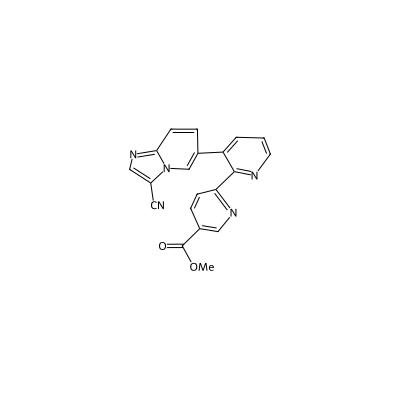 COC(=O)c1ccc(-c2ncccc2-c2ccc3ncc(C#N)n3c2)nc1